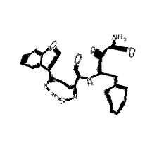 NC(=O)C(=O)C(Cc1ccccc1)NC(=O)c1nsnc1-c1coc2ccccc12